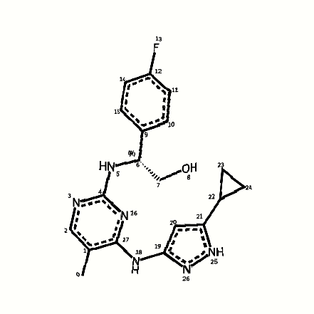 Cc1cnc(N[C@@H](CO)c2ccc(F)cc2)nc1Nc1cc(C2CC2)[nH]n1